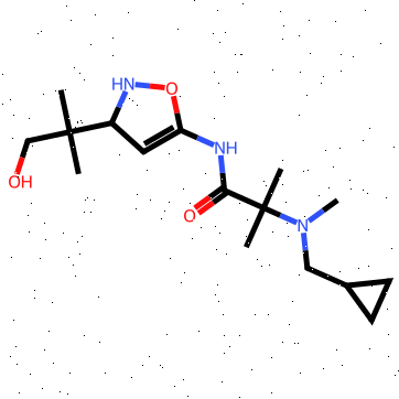 CN(CC1CC1)C(C)(C)C(=O)NC1=CC(C(C)(C)CO)NO1